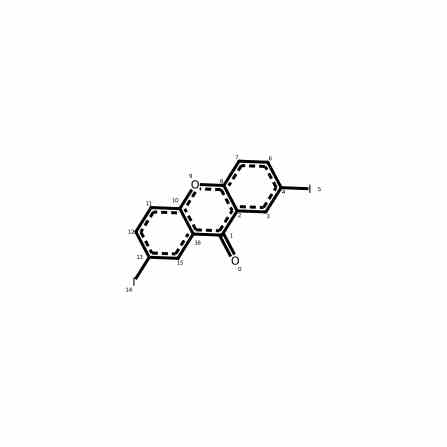 O=c1c2cc(I)ccc2oc2ccc(I)cc12